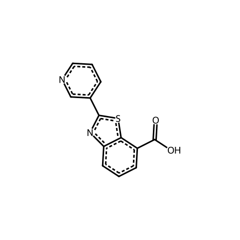 O=C(O)c1cccc2nc(-c3cccnc3)sc12